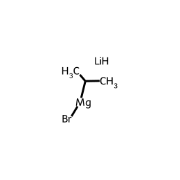 C[CH](C)[Mg][Br].[LiH]